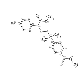 COC(=O)C(CCC(C)(C)c1ccc(C(=O)OO)cc1)c1ccc(Br)cc1